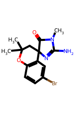 CN1C(=O)C2(CC(C)(C)Oc3ccc(Br)cc32)N=C1N